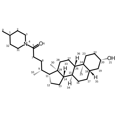 CC1CCN(C(=O)CC[C@@H](C)[C@H]2CC[C@H]3[C@@H]4CC[C@H]5C[C@@H](O)CC[C@]5(C)[C@H]4CC[C@]23C)CC1